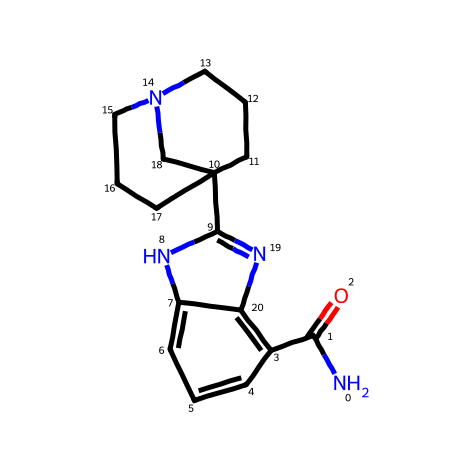 NC(=O)c1cccc2[nH]c(C34CCCN(CCC3)C4)nc12